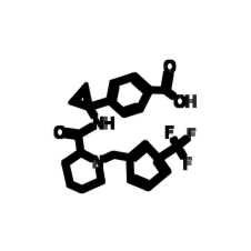 O=C(O)c1ccc(C2(NC(=O)C3CCCCN3Cc3cccc(C(F)(F)F)c3)CC2)cc1